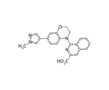 Cn1cc(-c2ccc3c(c2)OCCN3c2nc(C(=O)O)cc3ccccc23)cn1